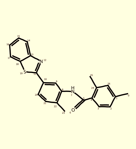 Cc1ccc(C(=O)Nc2cc(-c3nc4ccccc4s3)ccc2C)c(C)c1